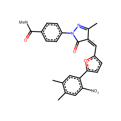 CNC(=O)c1ccc(N2N=C(C)/C(=C/c3ccc(-c4cc(C)c(C)cc4[N+](=O)[O-])o3)C2=O)cc1